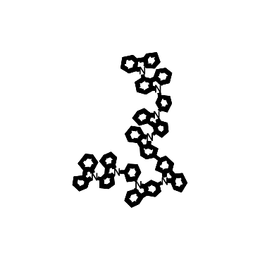 c1cc(-n2c3ccccc3c3ccc(-n4c5ccccc5c5ccc(-c6ccc7c8ccccc8n(-c8cccc9c8c8ccccc8n9-c8cccc(-n9c%10ccccc%10c%10c(-n%11c%12ccccc%12c%12ccccc%12%11)cccc%109)c8)c7c6)cc54)cc32)cc(-n2c3ccccc3c3c(-n4c5ccccc5c5ccccc54)cccc32)c1